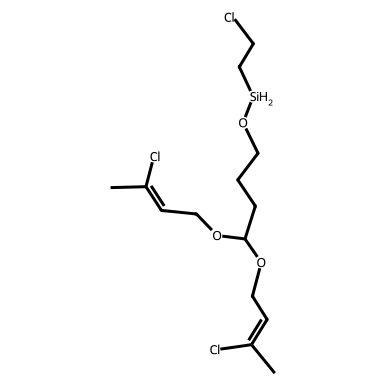 CC(Cl)=CCOC(CCCO[SiH2]CCCl)OCC=C(C)Cl